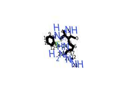 CCC(/C(C=N)=C/Nc1ccccc1F)c1ccc(/C(N)=N\C=N)[nH]1